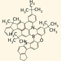 CC(C)(C)c1ccc2c(c1)B1c3c(cc(C(C)(C)C)cc3N2c2ccc(C(C)(C)C)cc2-c2ccc3c(c2)C(C)(C)c2ccccc2-3)Oc2ccc3c(sc4ccc5c(c43)CCC5)c21